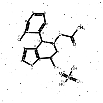 CC(=O)ON1CC(C)c2sccc2C1c1ccccc1Cl.O=S(=O)(O)O